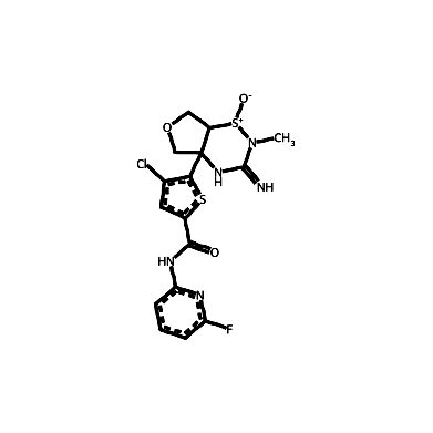 CN1C(=N)NC2(c3sc(C(=O)Nc4cccc(F)n4)cc3Cl)COCC2[S+]1[O-]